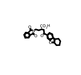 O=C(C[C@H](CCN1C(=O)c2ccccc2C1=O)C(=O)O)c1ccc2c3c(oc2c1)CCCC3